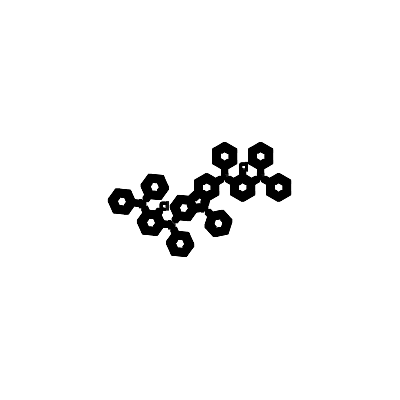 Clc1c(N(c2ccccc2)c2ccccc2)cccc1N(c1ccccc1)c1ccc2c3ccc(N(c4ccccc4)c4cccc(N(c5ccccc5)c5ccccc5)c4Cl)cc3n(-c3ccccc3)c2c1